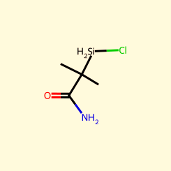 CC(C)([SiH2]Cl)C(N)=O